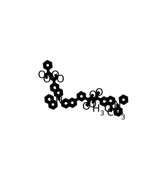 CC1(C)c2ccccc2N(c2ccccc2)c2ccc3cc(C4=C5OC(=O)C(c6cccc(-c7ccc8ccc(N(c9ccc%10cc(C%11=C%12OC(=O)C(c%13ccccc%13)=C%12OC%11=O)ccc%10c9)c9cccc%10ccccc9%10)cc8c7)c6)=C5OC4=O)ccc3c21